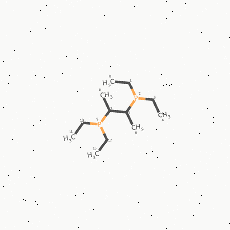 CCP(CC)C(C)C(C)P(CC)CC